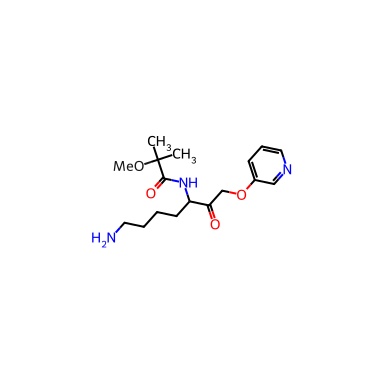 COC(C)(C)C(=O)NC(CCCCN)C(=O)COc1cccnc1